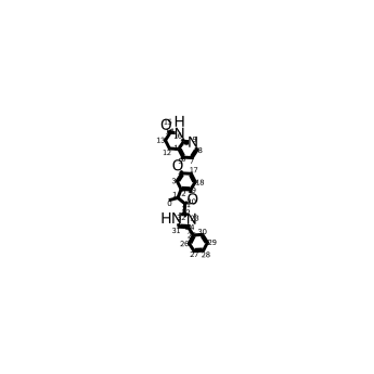 CC1c2cc(Oc3ccnc4c3CCC(=O)N4)ccc2OC1c1nc(-c2ccccc2)c[nH]1